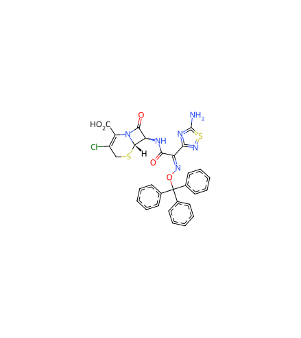 Nc1nc(/C(=N/OC(c2ccccc2)(c2ccccc2)c2ccccc2)C(=O)N[C@@H]2C(=O)N3C(C(=O)O)=C(Cl)CS[C@@H]23)ns1